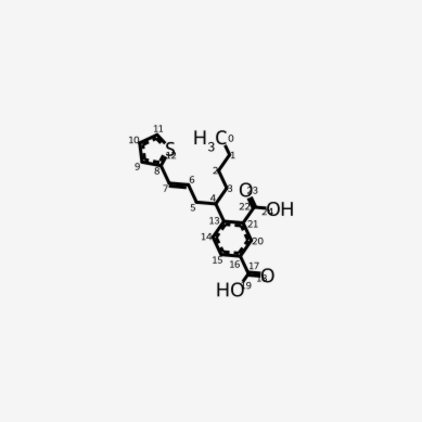 CCCCC(CC=Cc1cccs1)c1ccc(C(=O)O)cc1C(=O)O